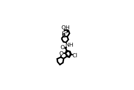 O=C(NC1CC2CC3CC(C1)N2CC3O)c1cc(Cl)cc2c1OC1CCCCC21